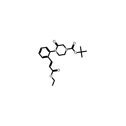 CCOC(=O)/C=C/c1ccccc1N1CCN(C(=O)OC(C)(C)C)CC1=O